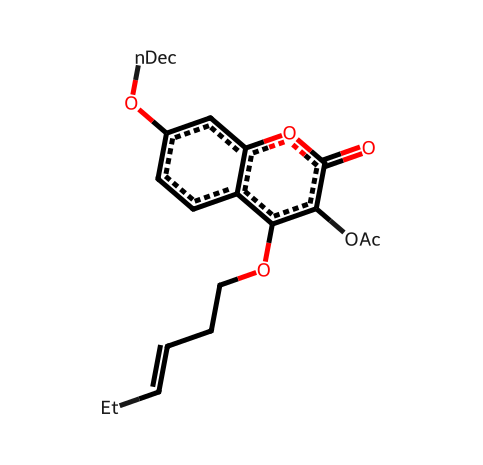 CC/C=C/CCOc1c(OC(C)=O)c(=O)oc2cc(OCCCCCCCCCC)ccc12